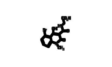 Cn1c(=O)c(C(=O)NCC(=O)O)c(O)c2c(Br)cccc21